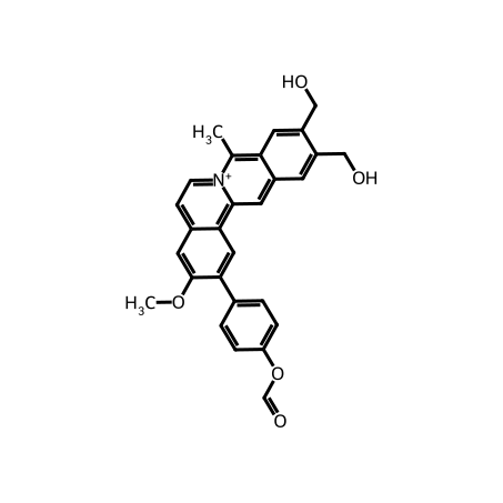 COc1cc2cc[n+]3c(C)c4cc(CO)c(CO)cc4cc3c2cc1-c1ccc(OC=O)cc1